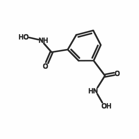 O=C(NO)c1cccc(C(=O)NO)c1